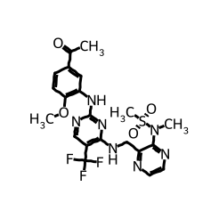 COc1ccc(C(C)=O)cc1Nc1ncc(C(F)(F)F)c(NCc2nccnc2N(C)S(C)(=O)=O)n1